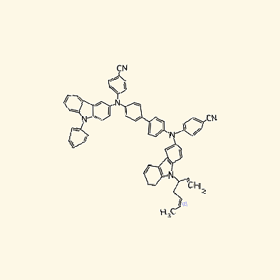 C=CC(C/C=C\C)n1c2c(c3cc(N(c4ccc(C#N)cc4)c4ccc(-c5ccc(N(c6ccc(C#N)cc6)c6ccc7c(c6)c6ccccc6n7-c6ccccc6)cc5)cc4)ccc31)C=CCC2